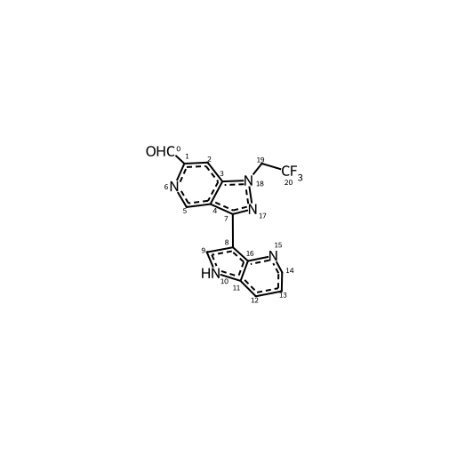 O=Cc1cc2c(cn1)c(-c1c[nH]c3cccnc13)nn2CC(F)(F)F